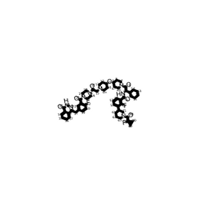 O=C(N[C@@H](C(=O)N1CCC(OC2CCN(CC(=O)N3CCN(C(=O)c4cc(Cc5n[nH]c(=O)c6ccccc56)ccc4F)CC3)CC2)CC1)C1CCCCC1)c1cccc(C2CCCN(C(=O)C3(F)CC3)C2)c1F